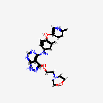 Cc1ccc(Oc2ccc(Nc3ncnc4[nH]nc(OCCN5CCOCC5)c34)cc2C)cn1